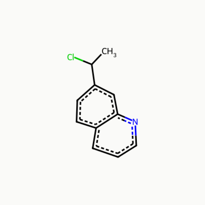 CC(Cl)c1ccc2cccnc2c1